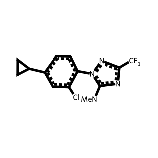 CNc1nc(C(F)(F)F)nn1-c1ccc(C2CC2)cc1Cl